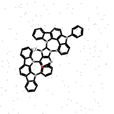 CN1c2ncnc(-n3c4ccccc4c4ccc5c6ccccc6n(-c6ccccc6)c5c43)c2N(C)C1n1c2ccccc2c2ccc3c(c4ccccc4n3-c3ccccc3)c21